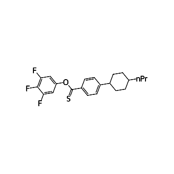 CCCC1CCC(c2ccc(C(=S)Oc3cc(F)c(F)c(F)c3)cc2)CC1